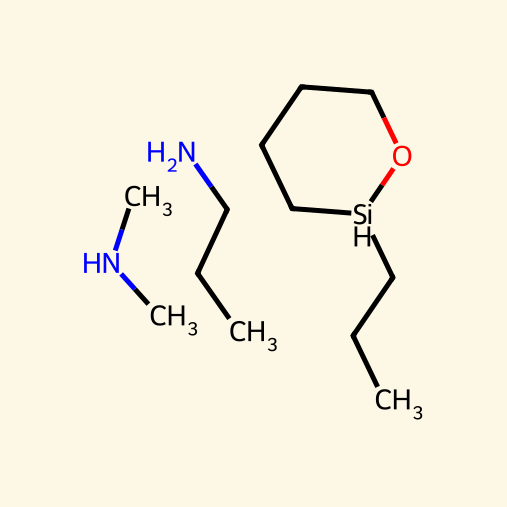 CCCN.CCC[SiH]1CCCCO1.CNC